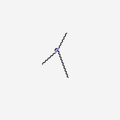 CCCCCCCCCCCCCCCCCCCc1n(CCCCCCCCCCC)cc[n+]1CCCCCCCCCCC